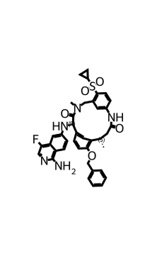 C[C@H]1CC(=O)Nc2ccc(S(=O)(=O)C3CC3)c(c2)CN(C)C(=O)[C@H](Nc2ccc3c(N)ncc(F)c3c2)c2ccc(OCc3ccccc3)c1c2